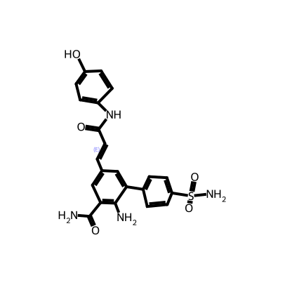 NC(=O)c1cc(/C=C/C(=O)Nc2ccc(O)cc2)cc(-c2ccc(S(N)(=O)=O)cc2)c1N